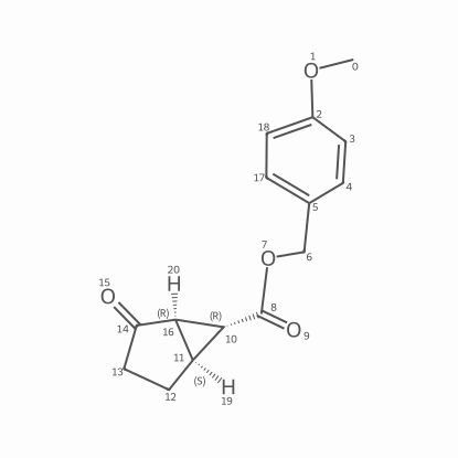 COc1ccc(COC(=O)[C@@H]2[C@H]3CCC(=O)[C@H]32)cc1